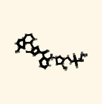 Cc1sc(C(=O)c2cncnc2N[C@@H]2C[C@H](COS(=O)(=O)NC(=O)O)[C@H](O)C2)cc1[C@@H]1OCCc2ccc(Cl)cc21